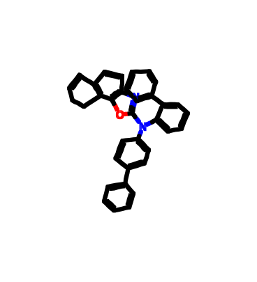 C1=Cc2ccc3nc(N(c4ccc(-c5ccccc5)cc4)c4ccccc4-c4ccccc4)oc3c2CC1